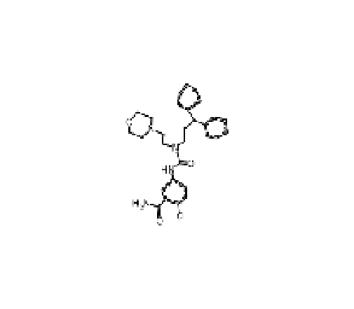 NC(=O)c1cc(NC(=O)N(CCC(c2ccccc2)c2ccccc2)CCN2CCOCC2)ccc1Cl